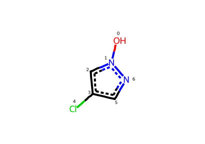 On1cc(Cl)cn1